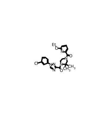 CCOc1cccc(C(=O)N2CCN(C(=O)c3ncn(-c4cccc(Cl)c4)n3)C(C)(C)C2)n1